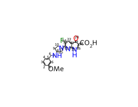 COc1cccc(CNC2CCN(c3nc4[nH]cc(C(=O)O)c(=O)c4cc3F)C2)c1